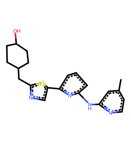 Cc1ccnc(Nc2cccc(-c3cnc(CC4CCC(O)CC4)s3)n2)c1